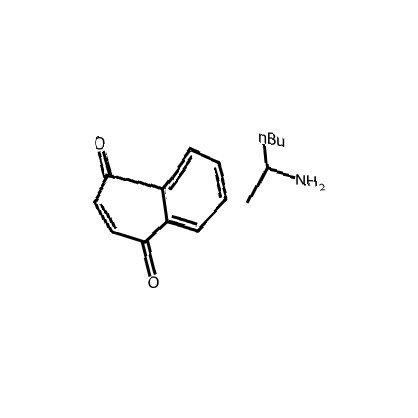 CCCCC(C)N.O=C1C=CC(=O)c2ccccc21